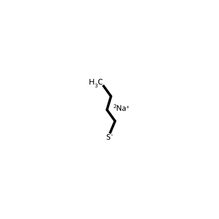 CCCC[S-].[2Na+]